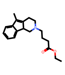 CCOC(=O)CCCN1CCC2=C(C)c3ccccc3C2C1